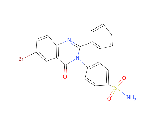 NS(=O)(=O)c1ccc(-n2c(-c3ccccc3)nc3ccc(Br)cc3c2=O)cc1